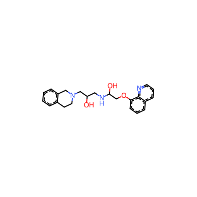 OC(CNC(O)COc1cccc2cccnc12)CN1CCc2ccccc2C1